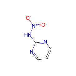 O=[N+]([O-])Nc1ncccn1